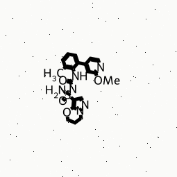 COc1cc(-c2cccc(C)c2NC(=O)N=[S@](N)(=O)c2cnn3c2OCCC3)ccn1